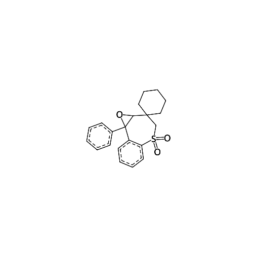 O=S1(=O)CC2(CCCCC2)C2OC2(c2ccccc2)c2ccccc21